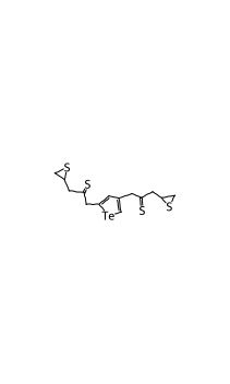 S=C(Cc1c[te]c(CC(=S)CC2CS2)c1)CC1CS1